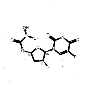 O=C(O[C@@H]1C[C@H](F)[C@H](n2cc(F)c(=O)[nH]c2=O)O1)P(O)O